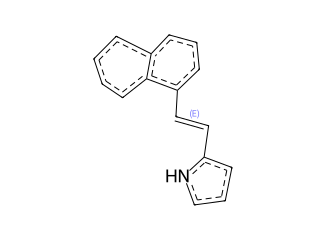 C(=C\c1cccc2ccccc12)/c1ccc[nH]1